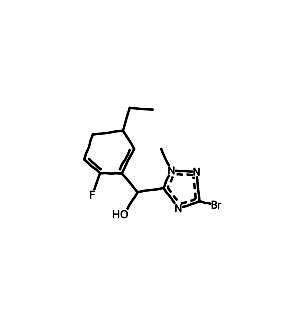 CCC1C=C(C(O)c2nc(Br)nn2C)C(F)=CC1